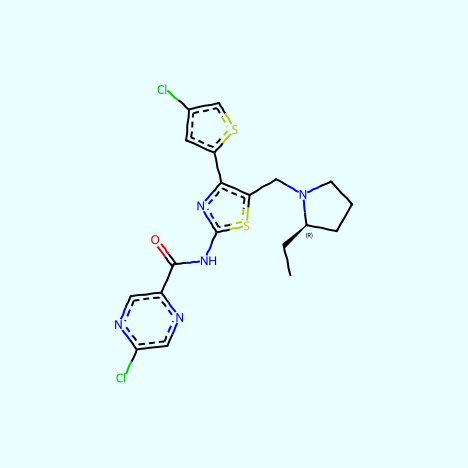 CC[C@@H]1CCCN1Cc1sc(NC(=O)c2cnc(Cl)cn2)nc1-c1cc(Cl)cs1